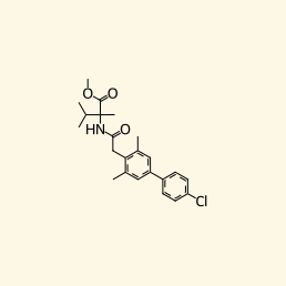 COC(=O)C(C)(NC(=O)Cc1c(C)cc(-c2ccc(Cl)cc2)cc1C)C(C)C